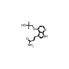 CC(C)(O)COc1ccnc2[nH]cc(/C=C/C(N)=O)c12